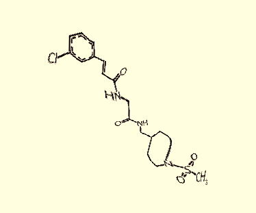 CS(=O)(=O)N1CCC(CNC(=O)CNC(=O)/C=C/c2cccc(Cl)c2)CC1